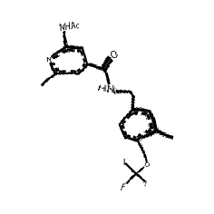 CC(=O)Nc1cc(C(=O)NCc2ccc(OC(F)(I)I)c(C)c2)cc(C)n1